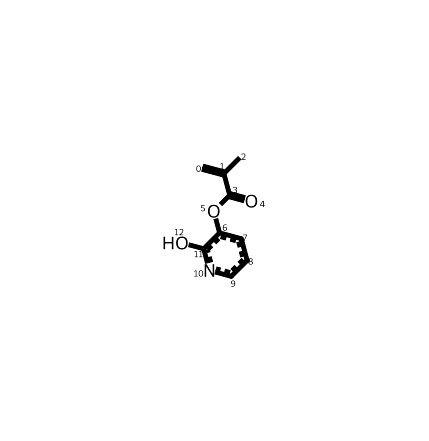 C=C(C)C(=O)Oc1cccnc1O